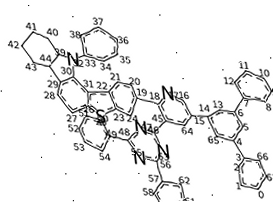 c1ccc(-c2cc(-c3ccccc3)cc(-c3cnc(-c4ccc5c(c4)sc4ccc6c(c45)N(c4ccccc4)C4CCCCC64)c(-c4nc(-c5ccccc5)nc(-c5ccccc5)n4)c3)c2)cc1